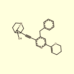 OC1(C#Cc2cnc(C3=CCCCO3)cc2Cc2ccccc2)CN2CCC1CC2